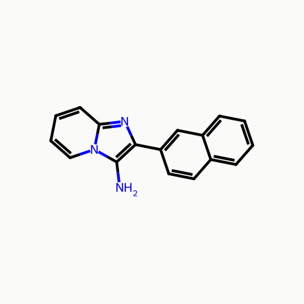 Nc1c(-c2ccc3ccccc3c2)nc2ccccn12